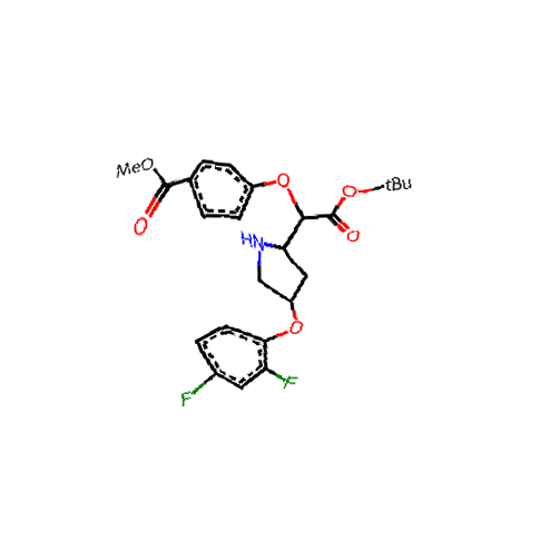 COC(=O)c1ccc(OC(C(=O)OC(C)(C)C)C2CC(Oc3ccc(F)cc3F)CN2)cc1